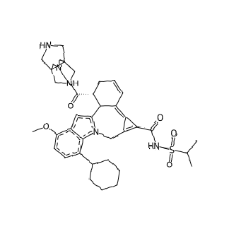 COc1ccc(C2CCCCC2)c2c1cc1n2CC2=C(C(=O)NS(=O)(=O)C(C)C)C2=C2C=CC[C@@H](C(=O)N3CC45CNCC4(CNC5)C3)C21